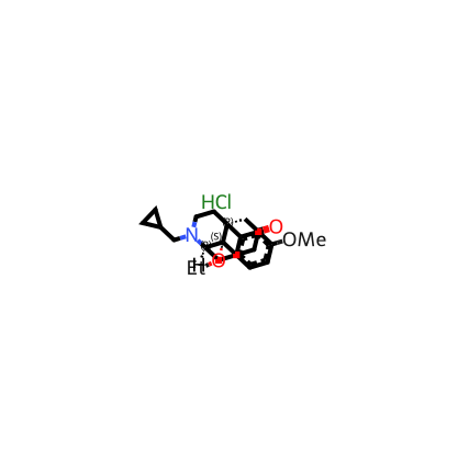 CCO[C@@]12CCC(=O)C[C@@]13CCN(CC1CC1)[C@@H]2Cc1ccc(OC)cc13.Cl